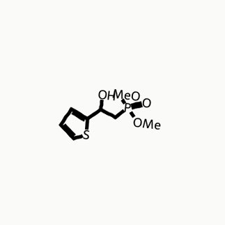 COP(=O)(CC(O)c1cccs1)OC